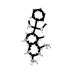 COC(OC)(c1ccccc1)c1cnc2nc(N)nc(N)c2c1C